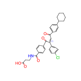 O=C(O)CCNC(=O)c1ccc(C(=O)/C(=C\C(=O)c2ccc(C3CCCCC3)cc2)c2ccc(Cl)cc2)cc1